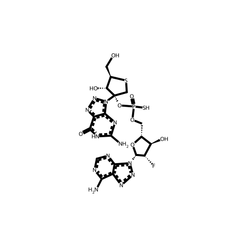 Nc1nc2c(nnn2[C@]2(OP(=O)(S)OC[C@H]3O[C@@H](n4nnc5c(N)ncnc54)[C@@H](F)[C@@H]3O)CS[C@H](CO)[C@H]2O)c(=O)[nH]1